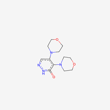 O=c1[nH]ncc(N2CCOCC2)c1N1CCOCC1